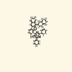 c1ccc(C2=NC(c3cccc4c3oc3c(-c5ccc6ccccc6c5)c5ccccc5cc34)NC(c3ccccc3)=N2)cc1